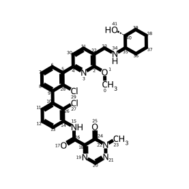 COc1nc(-c2cccc(-c3cccc(NC(=O)c4ncnn(C)c4=O)c3Cl)c2Cl)ccc1CNC1CCCC[C@H]1O